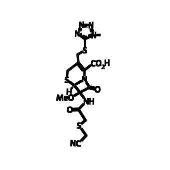 COC1(NC(=O)CSCC#N)C(=O)N2C(C(=O)O)=C(CSc3nnnn3C)CS[C@@H]21